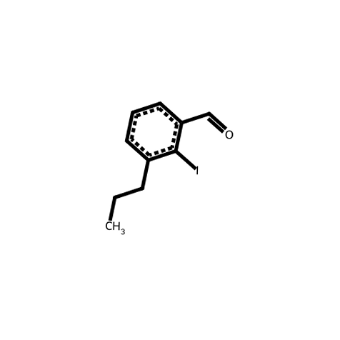 CCCc1cccc(C=O)c1I